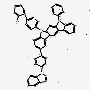 N#Cc1ccccc1-c1ccc(-n2c3ccc(-c4ccc(-n5nnc6ccccc65)cc4)cc3c3cc4c5ccccc5n(-c5ccccc5)c4cc32)cc1